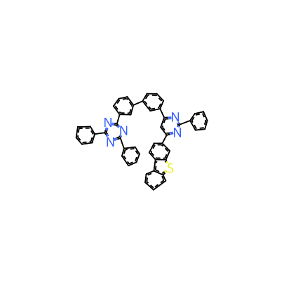 c1ccc(-c2nc(-c3cccc(-c4cccc(-c5nc(-c6ccccc6)nc(-c6ccccc6)n5)c4)c3)cc(-c3ccc4c(c3)sc3ccccc34)n2)cc1